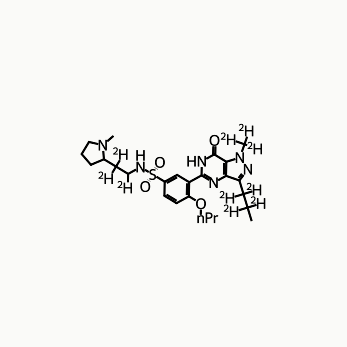 [2H]C(NS(=O)(=O)c1ccc(OCCC)c(-c2nc3c(C([2H])([2H])C([2H])([2H])C)nn(C([2H])([2H])[2H])c3c(=O)[nH]2)c1)C([2H])([2H])C1CCCN1C